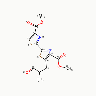 COC(=O)c1csc(-c2nc(C(=O)OC)c(CC(C)C=O)s2)n1